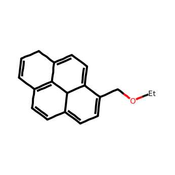 CCOCC1=CC=C2C=CC3=C4C(=CC=C1C24)CC=C3